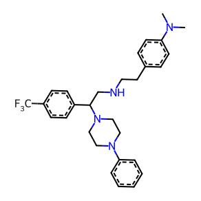 CN(C)c1ccc(CCNCC(c2ccc(C(F)(F)F)cc2)N2CCN(c3ccccc3)CC2)cc1